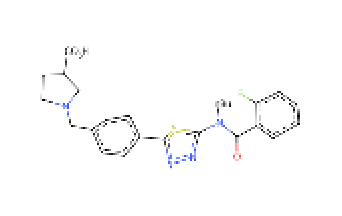 CCCCN(C(=O)c1ccccc1F)c1nnc(-c2ccc(CN3CCC(C(=O)O)C3)cc2)s1